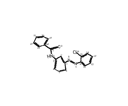 O=C(Nc1cccc(N=Nc2cc[c]cc2Cl)c1)c1ccccc1